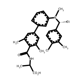 CC[C@H](c1ccc(Cl)c(C)c1)N(C)c1cccc(-c2cc(C)c(C(=O)NC(C)C(=O)O)c(C)c2)c1